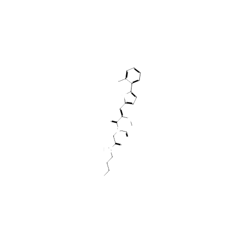 CCCCNC(=O)CN(C=S)C(=O)/C(=C/c1ccc(-c2ccccc2Cl)o1)SC